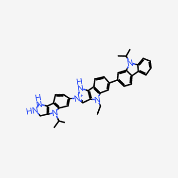 CCn1c2cc(-c3ccc4c5ccccc5n(C(C)C)c4c3)ccc2c2[nH][n+](-c3ccc4c5c(n(C(C)C)c4c3)CNN5)cc21